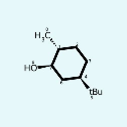 C[C@@H]1CC[C@@H](C(C)(C)C)C[C@H]1O